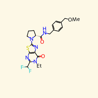 CCn1c(C(F)F)nc2sc(N3CCC[C@@H]3C(=O)NCc3ccc(COC)cc3)nc2c1=O